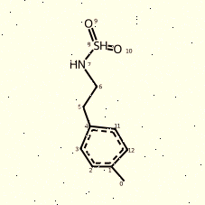 Cc1ccc(CCN[SH](=O)=O)cc1